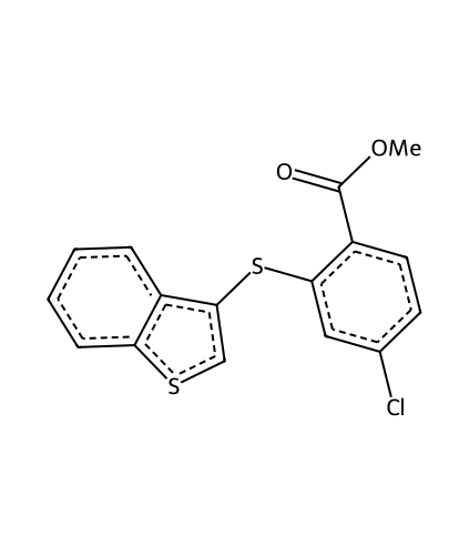 COC(=O)c1ccc(Cl)cc1Sc1csc2ccccc12